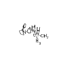 CC(C)NC(=O)Nc1ccc(N2CCCC2=O)cn1